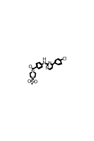 CS(=O)(=O)N1CCN(C(=O)c2ccc(Nc3nccc(-c4ccc(Cl)cc4)n3)cc2)CC1